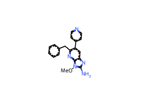 COn1c(N)nc2cc(-c3ccncc3)c(Cc3ccccc3)nc21